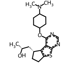 C[C@@H](O)C[C@H]1CCc2sc3ncnc(OC4CCC(N(C)C)CC4)c3c21